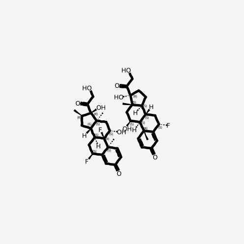 C[C@@H]1C[C@H]2[C@@H]3C[C@H](F)C4=CC(=O)C=C[C@]4(C)[C@@]3(F)[C@@H](O)C[C@]2(C)[C@@]1(O)C(=O)CO.C[C@]12C=CC(=O)C=C1[C@@H](F)C[C@@H]1[C@@H]2[C@@H](O)C[C@@]2(C)[C@H]1CC[C@]2(O)C(=O)CO